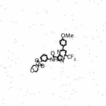 COc1ccc(-c2cc(C(F)(F)F)n3ncc(C(=O)Nc4cccc(S(=O)(=O)N5CCOCC5)c4)c3n2)cc1